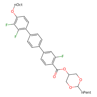 CCCCCCCCOc1ccc(-c2ccc(-c3ccc(C(=O)OC4COC(CCCCC)OC4)c(F)c3)cc2)c(F)c1F